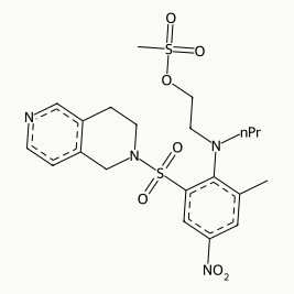 CCCN(CCOS(C)(=O)=O)c1c(C)cc([N+](=O)[O-])cc1S(=O)(=O)N1CCc2cnccc2C1